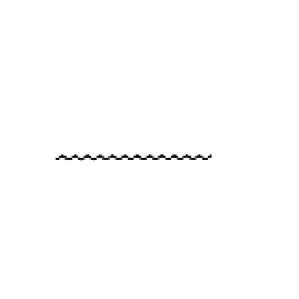 C[CH]CCCCCCCCCCCCCCCCCCCCCCCC